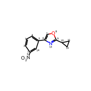 O=[N+]([O-])c1cccc(-c2coc(C3CC3)n2)c1